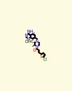 C[C@H]1C(C=O)N(Cc2ccc3c(N)ncnc3c2)CCN1C(=O)C=Cc1ccc(Cl)s1